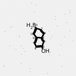 Bc1ccc2cc(O)ccc2c1